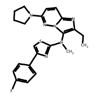 CCc1nc2ccc(N3CCCC3)nn2c1N(C)c1nc(-c2ccc(F)cc2)cs1